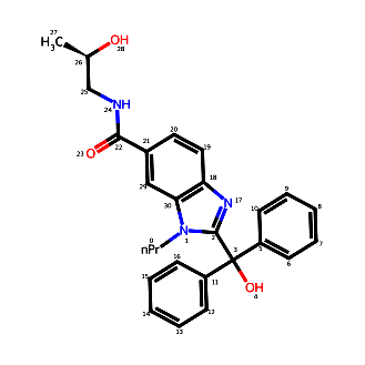 CCCn1c(C(O)(c2ccccc2)c2ccccc2)nc2ccc(C(=O)NC[C@@H](C)O)cc21